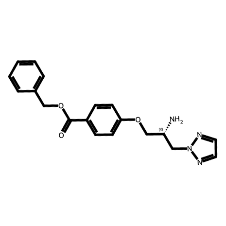 N[C@@H](COc1ccc(C(=O)OCc2ccccc2)cc1)Cn1nccn1